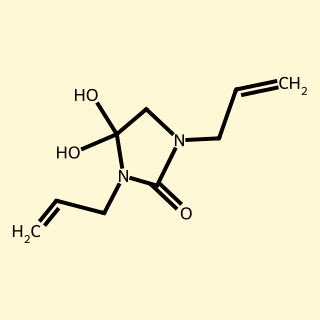 C=CCN1CC(O)(O)N(CC=C)C1=O